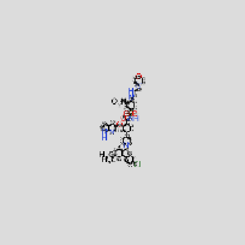 CC1(C)CCC(CN2CC=C(c3ccc(C(=O)NS(=O)(=O)c4ccc(NCCCN5CCOCC5)c([N+](=O)[O-])c4)c(Oc4cnc5[nH]ccc5c4)c3)CC2)=C(c2ccc(Cl)cc2)C1